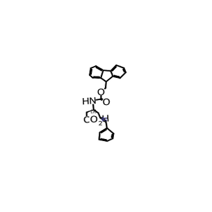 O=C(O)C[C@H](C/C=C/c1ccccc1)NC(=O)OCC1c2ccccc2-c2ccccc21